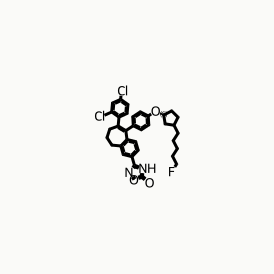 O=c1[nH]c(-c2ccc3c(c2)CCCC(c2ccc(Cl)cc2Cl)=C3c2ccc(O[C@H]3CCC(CCCCCF)C3)cc2)no1